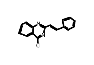 Clc1nc(C=Cc2ccccc2)nc2ccccc12